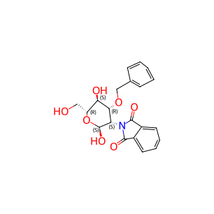 O=C1c2ccccc2C(=O)N1[C@H]1[C@@H](OCc2ccccc2)[C@H](O)[C@@H](CO)O[C@@H]1O